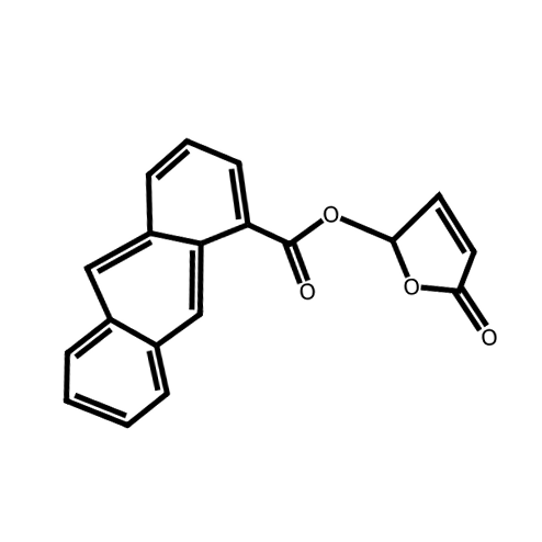 O=C1C=CC(OC(=O)c2cccc3cc4ccccc4cc23)O1